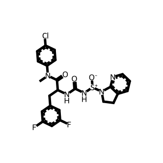 CN(C(=O)C(Cc1cc(F)cc(F)c1)NC(=O)N[S+]([O-])N1CCc2cccnc21)c1ccc(Cl)cc1